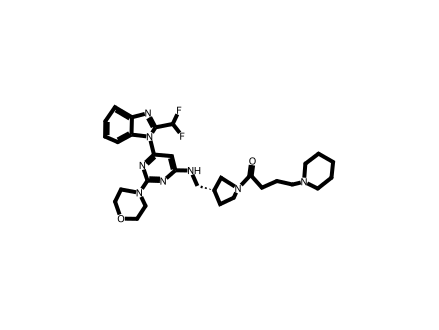 O=C(CCCN1CCCCC1)N1CC[C@H](CNc2cc(-n3c(C(F)F)nc4ccccc43)nc(N3CCOCC3)n2)C1